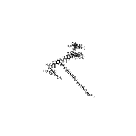 C=CCOC(=O)N[C@H](C(=O)N[C@H](C)C(=O)Nc1ccc(COC(=O)Nc2ccn([C@@H]3O[C@H](COP(=O)(OC(C)(C)C)OC(C)(C)C)[C@@H](O[Si](C)(C)C(C)(C)C)C3(F)F)c(=O)n2)c(C(=O)NCCOCCOCCOCCOCCOCCOCCOCCOC)c1)C(C)C